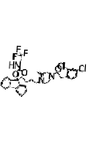 C[C@H]1CN(C(=O)Cc2ccc(Cl)cc2Cl)CCN1CCCCC1(OC(=O)NCC(F)(F)F)c2ccccc2-c2ccccc21